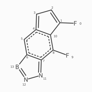 FC1=CC=c2cc3c(c(F)c21)=NN=B3